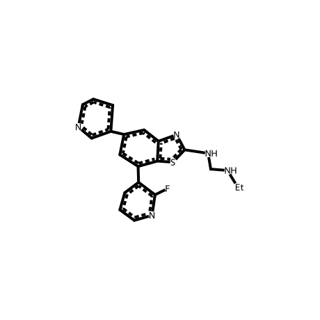 CCNCNc1nc2cc(-c3cccnc3)cc(-c3cccnc3F)c2s1